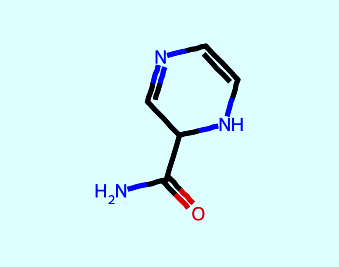 NC(=O)C1C=NC=CN1